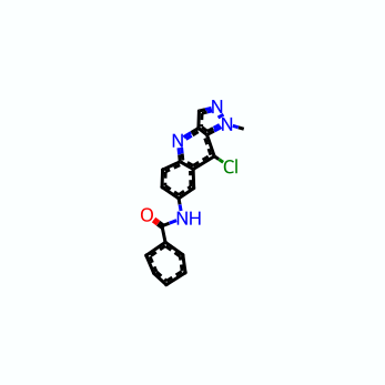 Cn1ncc2nc3ccc(NC(=O)c4ccccc4)cc3c(Cl)c21